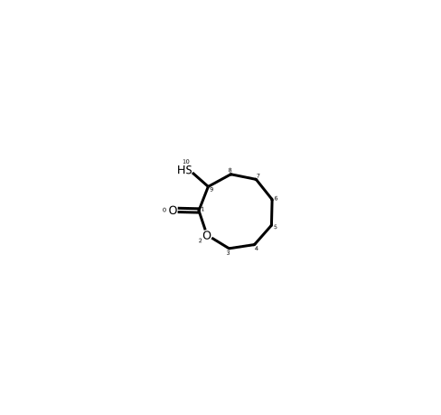 O=C1OCCCCCCC1S